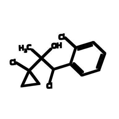 CC(O)(C(Cl)c1ccccc1Cl)C1(Cl)CC1